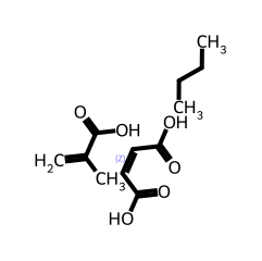 C=C(C)C(=O)O.CCCC.O=C(O)/C=C\C(=O)O